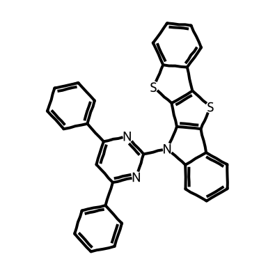 c1ccc(-c2cc(-c3ccccc3)nc(-n3c4ccccc4c4sc5c6ccccc6sc5c43)n2)cc1